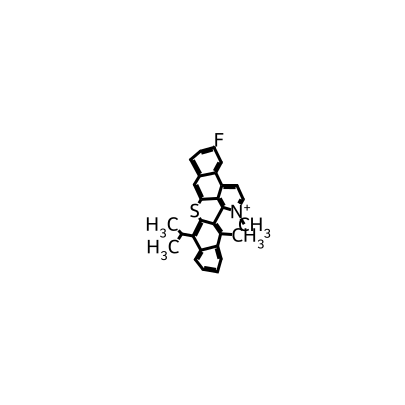 Cc1c2c(c(C(C)C)c3ccccc13)Sc1cc3ccc(F)cc3c3cc[n+](C)c-2c13